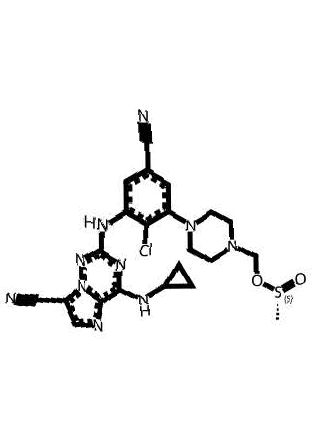 C[S@@](=O)OCN1CCN(c2cc(C#N)cc(Nc3nc(NC4CC4)c4ncc(C#N)n4n3)c2Cl)CC1